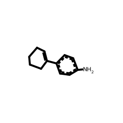 Nc1ccc(C2=CCCCC2)cc1